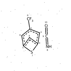 FC(F)(F)c1cc2cc(c1)S2.N=C=O